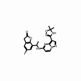 CC(Nc1ccn2ncc(C3=NOC(C)(C)N3)c2n1)c1cc(F)cc2c1OC(=O)C2